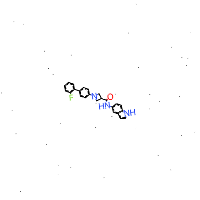 O=C(Nc1ccc2[nH]ccc2c1)C1CN(c2ccc(-c3ccccc3F)cc2)C1